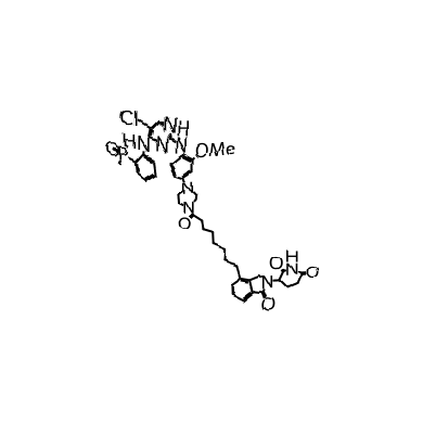 COc1cc(N2CCN(C(=O)CCCCCCCc3cccc4c3CN(C3CCC(=O)NC3=O)C4=O)CC2)ccc1Nc1ncc(Cl)c(Nc2ccccc2P(C)(C)=O)n1